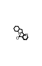 O=C1c2cccnc2C2CC3CCCCC3N12